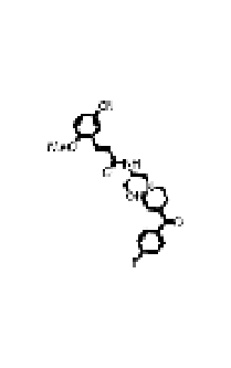 COc1ccc(C#N)cc1/C=C/C(=O)N[C@H](CO)CN1CCC(C(=O)c2ccc(F)cc2)CC1